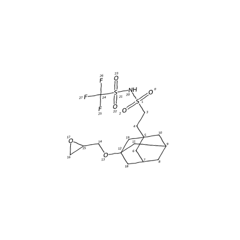 O=S(=O)(CCC12CC3CC(C1)CC(OCC1CO1)(C3)C2)NS(=O)(=O)C(F)(F)F